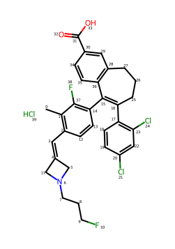 Cc1c(C=C2CN(CCCF)C2)ccc(C2=C(c3ccc(Cl)cc3Cl)CCCc3cc(C(=O)O)ccc32)c1F.Cl